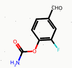 NC(=O)Oc1ccc(C=O)cc1F